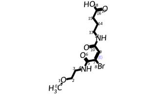 COCCNC(=O)/C(Br)=C\C(=O)NCCCC(=O)O